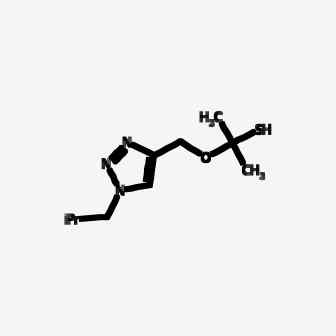 CC(C)Cn1cc(COC(C)(C)S)nn1